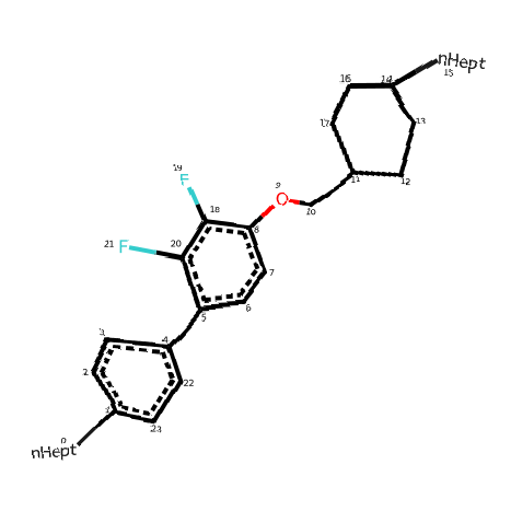 CCCCCCCc1ccc(-c2ccc(OCC3CCC(CCCCCCC)CC3)c(F)c2F)cc1